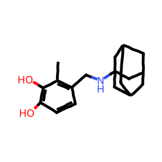 Cc1c(CNC23CC4CC(CC(C4)C2)C3)ccc(O)c1O